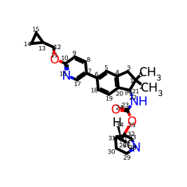 CC1(C)Cc2cc(-c3ccc(OCC4CC4)nc3)ccc2[C@@H]1NC(=O)O[C@@H]1CN2CCC1CC2